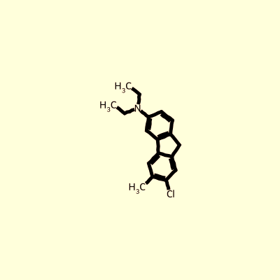 CCN(CC)c1ccc2c(c1)-c1cc(C)c(Cl)cc1C2